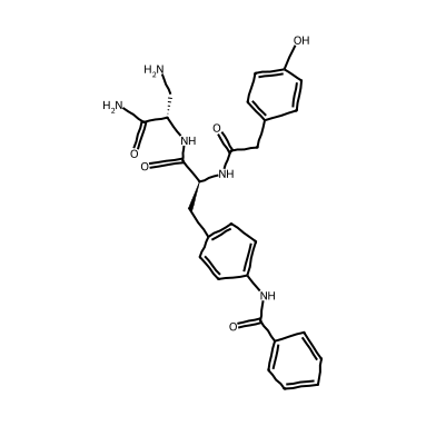 NC[C@H](NC(=O)[C@H](Cc1ccc(NC(=O)c2ccccc2)cc1)NC(=O)Cc1ccc(O)cc1)C(N)=O